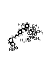 CC(=O)OC[C@H]1O[C@@H](n2cc(Cc3ccc(/C=C/CCN4CCCC5(CCN(C(=O)O)CC5)C4)cc3)c3c(C)cccc32)[C@@H](OC(C)=O)[C@H](OC(C)=O)[C@@H]1OC(C)=O